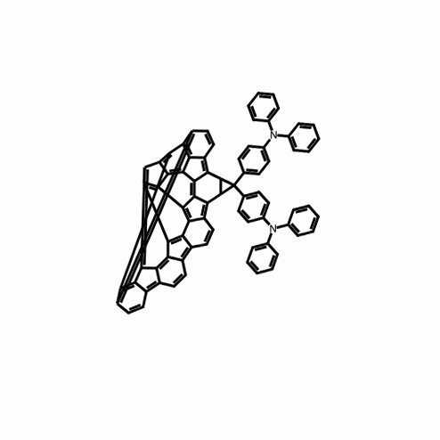 c1ccc(N(c2ccccc2)c2ccc(C3(c4ccc(N(c5ccccc5)c5ccccc5)cc4)C4c5c6ccc7c8ccc9c%10ccc%11c%12ccc%13c(c%14c5c5c6c7c6c8c9c7c%10c%11c8c%12c%13c%14c9c5c6c7c89)C43)cc2)cc1